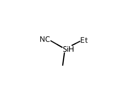 CC[SiH](C)C#N